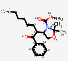 CCCCCCCCCCCCCC=CC(C(=O)c1ccccc1)C1COC(C)(C)N1C(=O)OC(C)(C)C